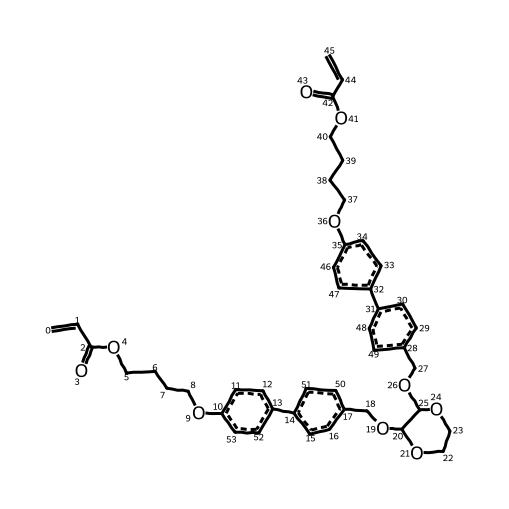 C=CC(=O)OCCCCOc1ccc(-c2ccc(COC3OCCOC3OCc3ccc(-c4ccc(OCCCCOC(=O)C=C)cc4)cc3)cc2)cc1